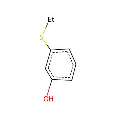 CCSc1cccc(O)c1